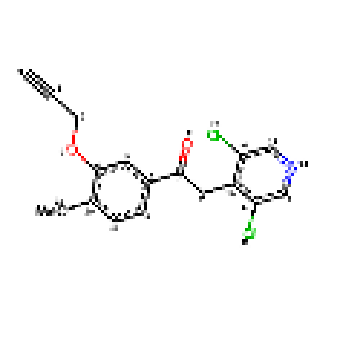 C#CCOc1cc(C(=O)Cc2c(Cl)cncc2Cl)ccc1OC